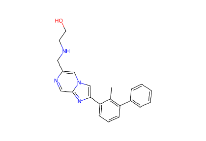 Cc1c(-c2ccccc2)cccc1-c1cn2cc(CNCCO)ncc2n1